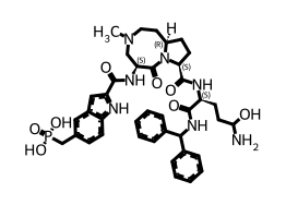 CN1CC[C@H]2CC[C@@H](C(=O)N[C@@H](CCC(N)O)C(=O)NC(c3ccccc3)c3ccccc3)N2C(=O)[C@@H](NC(=O)c2cc3cc(CP(=O)(O)O)ccc3[nH]2)C1